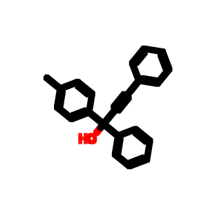 Cc1ccc(C(O)(C#Cc2ccccc2)c2ccccc2)cc1